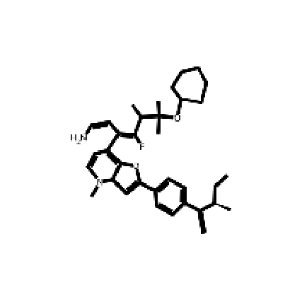 C=C(c1ccc(C2=CC3C(=C(C(/C=C\N)=C(\F)C(C)C(C)(C)OC4CCCCC4)C=CN3C)O2)cc1)[C@H](C)CC